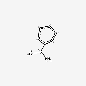 CCC[C@@H](N)c1ccccc1